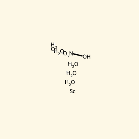 O.O.O.O.O.O=[N+]([O-])O.[Sc]